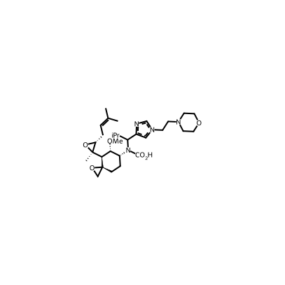 CO[C@@H]1[C@H](N(C(=O)O)C(c2cn(CCN3CCOCC3)cn2)C(C)C)CC[C@]2(CO2)[C@H]1[C@@]1(C)O[C@@H]1CC=C(C)C